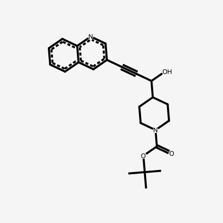 CC(C)(C)OC(=O)N1CCC(C(O)C#Cc2cnc3ccccc3c2)CC1